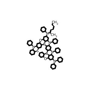 C=C/C=C\C=C(/C)N(c1ccccc1)c1cc2c3c(c1)N(c1ccccc1)c1cc4c(cc1B3c1cc3c(cc1O2)N(c1ccccc1)c1ccccc1S3)B1c2ccccc2Oc2cc(N(c3ccccc3)c3ccccc3)cc(c21)N4c1ccccc1